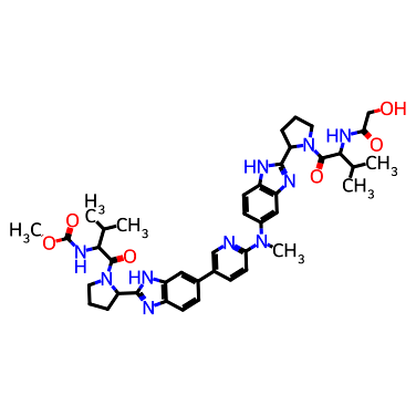 COC(=O)NC(C(=O)N1CCCC1c1nc2ccc(-c3ccc(N(C)c4ccc5[nH]c(C6CCCN6C(=O)C(NC(=O)CO)C(C)C)nc5c4)nc3)cc2[nH]1)C(C)C